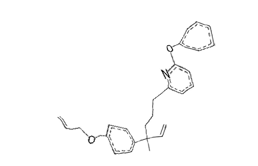 C=CCOc1ccc(C(C)(C=C)CCCc2cccc(Oc3ccccc3)n2)cc1